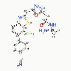 N#Cc1ccc(-c2ccc3nc(Cc4nnc(CC(=O)NC5(N)CC5)o4)sc3c2F)cc1